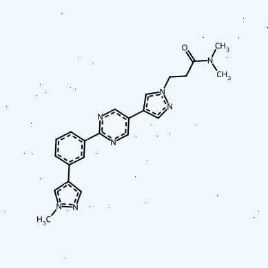 CN(C)C(=O)CCn1cc(-c2cnc(-c3cccc(-c4cnn(C)c4)c3)nc2)cn1